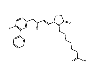 O=C(O)CCCSCCN1C(=O)CC[C@@H]1/C=C/[C@@H](O)Cc1ccc(F)c(-c2ccccc2)c1